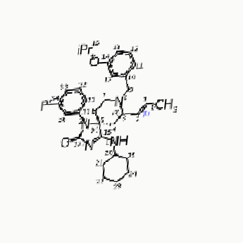 C/C=C/[C@H]1C[C@]2(CCN1Cc1cccc(OC(C)C)c1)C(NC1CCCCC1)=NC(=O)N2c1cccc(F)c1